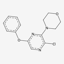 Clc1ncc(Oc2ccccc2)nc1N1CCOCC1